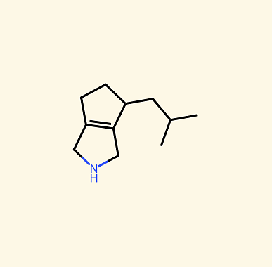 CC(C)CC1CCC2=C1CNC2